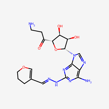 NCCC(=O)[C@H]1O[C@@H](n2cnc3c(N)nc(N/N=C/C4=COCCC4)nc32)[C@H](O)[C@@H]1O